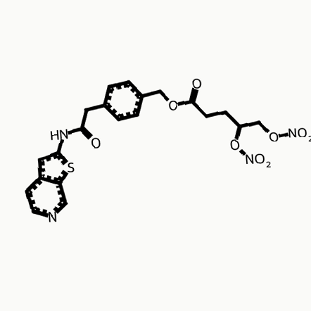 O=C(Cc1ccc(COC(=O)CCC(CO[N+](=O)[O-])O[N+](=O)[O-])cc1)Nc1cc2ccncc2s1